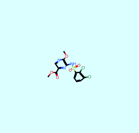 COC(=O)c1cnc(OC)c(NS(=O)(=O)c2cccc(Cl)c2Cl)n1